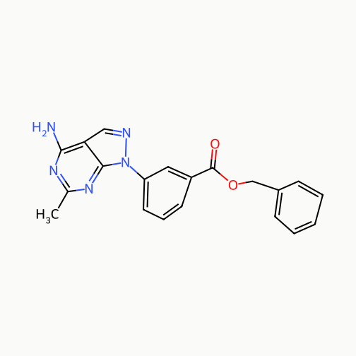 Cc1nc(N)c2cnn(-c3cccc(C(=O)OCc4ccccc4)c3)c2n1